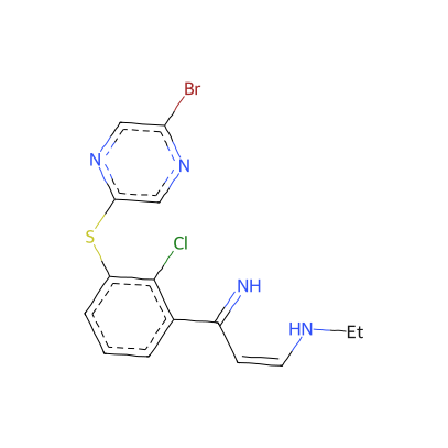 CCN/C=C\C(=N)c1cccc(Sc2cnc(Br)cn2)c1Cl